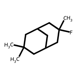 CC1(C)CC2CC(C1)CC(C)(F)C2